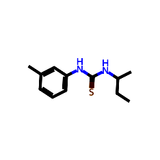 CCC(C)NC(=S)Nc1cccc(C)c1